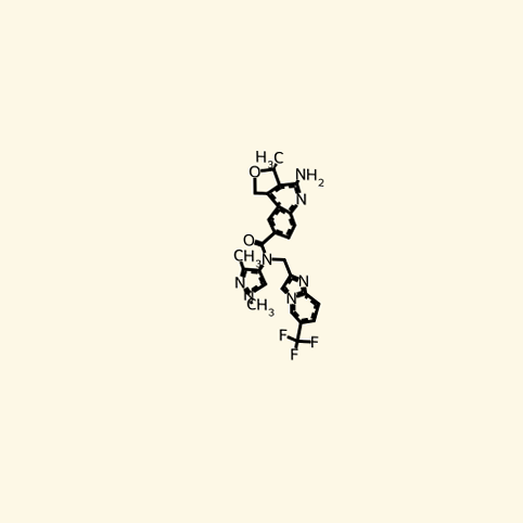 Cc1nn(C)cc1N(Cc1cn2cc(C(F)(F)F)ccc2n1)C(=O)c1ccc2nc(N)c3c(c2c1)CO[C@H]3C